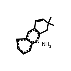 CC1(C)C=Cc2cc3ccccc3nc2C1.N